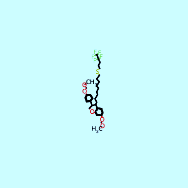 COCOc1ccc(C2COc3cc(OCOC)ccc3C2CCCCCCCCCSCCCC(F)(F)C(F)(F)F)cc1